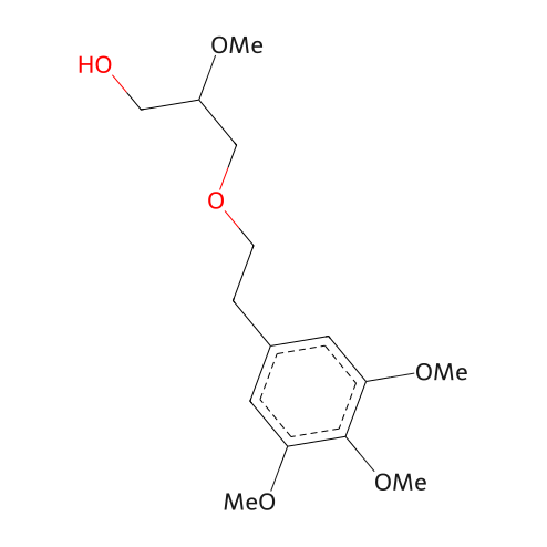 COc1cc(CCOCC(CO)OC)cc(OC)c1OC